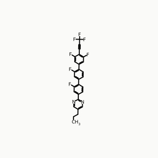 CCCc1cnc(-c2ccc(-c3ccc(-c4cc(F)c(C#CC(F)(F)F)c(F)c4)c(F)c3)c(F)c2)nc1